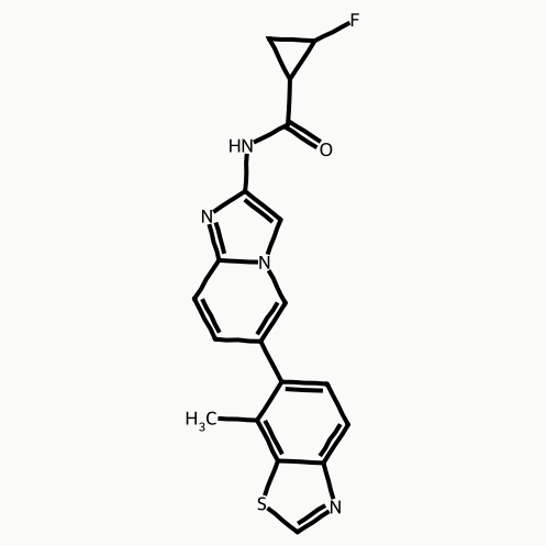 Cc1c(-c2ccc3nc(NC(=O)C4CC4F)cn3c2)ccc2ncsc12